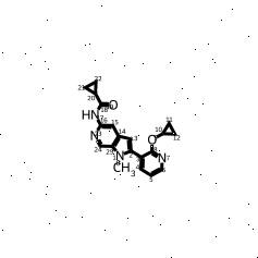 Cn1c(-c2cccnc2OC2CC2)cc2cc(NC(=O)C3CC3)ncc21